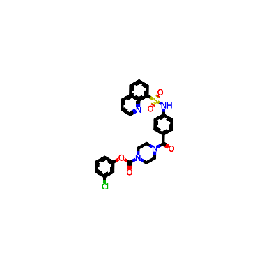 O=C(Oc1cccc(Cl)c1)N1CCN(C(=O)c2ccc(NS(=O)(=O)c3cccc4cccnc34)cc2)CC1